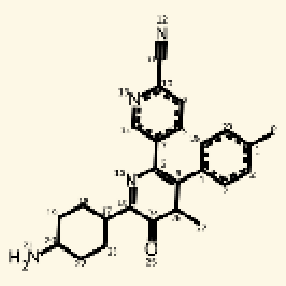 Cc1ccc(C2=C(c3ccc(C#N)nc3)N=C(C3CCC(N)CC3)C(=O)C2C)cc1